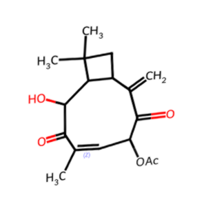 C=C1C(=O)C(OC(C)=O)/C=C(/C)C(=O)C(O)C2C1CC2(C)C